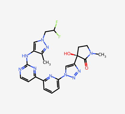 Cc1nn(CC(F)F)cc1Nc1nccc(-c2cccc(-n3cc([C@]4(O)CCN(C)C4=O)nn3)n2)n1